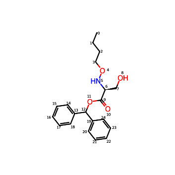 CCCCON[C@@H](CO)C(=O)OC(c1ccccc1)c1ccccc1